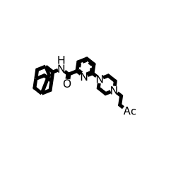 CC(=O)CCN1CCN(c2cccc(C(=O)NC3C4CC5CC(C4)CC3C5)n2)CC1